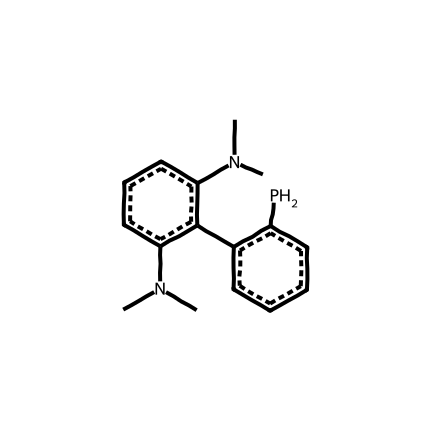 CN(C)c1cccc(N(C)C)c1-c1ccccc1P